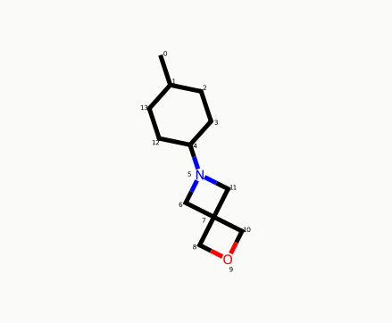 CC1CCC(N2CC3(COC3)C2)CC1